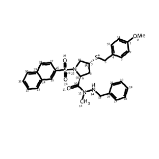 COc1ccc(CS[C@@H]2C[C@@H](C(=O)N(C)NCc3ccccc3)N(S(=O)(=O)c3ccc4ccccc4c3)C2)cc1